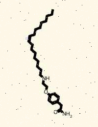 CCCCCCCC/C=C\CCCCCCCCNCCOc1ccc(CC(N)=O)cc1